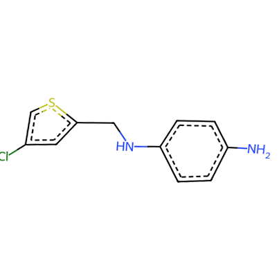 Nc1ccc(NCc2cc(Cl)cs2)cc1